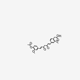 COc1cc(C=CC(=O)CC(=O)C=Cc2ccc(OC(C)=O)c(OC)c2)ccc1CC(=O)O